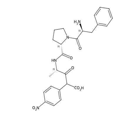 C[C@H](NC(=O)[C@@H]1CCCN1C(=O)[C@@H](N)Cc1ccccc1)C(=O)C(C(=O)O)c1ccc([N+](=O)[O-])cc1